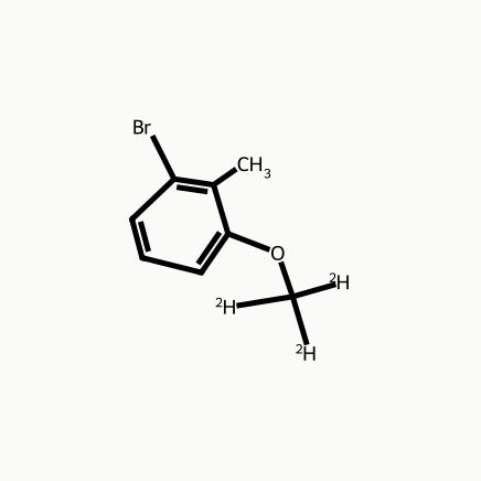 [2H]C([2H])([2H])Oc1cccc(Br)c1C